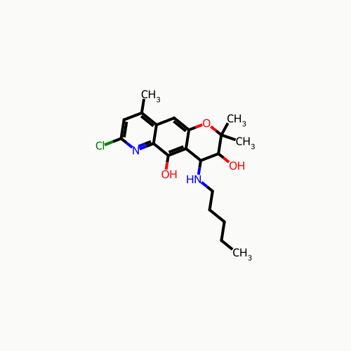 CCCCCNC1c2c(cc3c(C)cc(Cl)nc3c2O)OC(C)(C)C1O